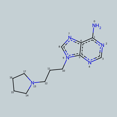 Nc1ncnc2c1ncn2CCCN1CCCC1